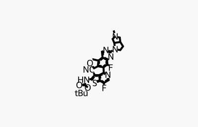 CN1CC2CCN(c3ncc4c5c(c(-c6ncc(F)c7sc(NC(=O)OC(C)(C)C)c(C#N)c67)c(F)c4n3)COC5)C2C1